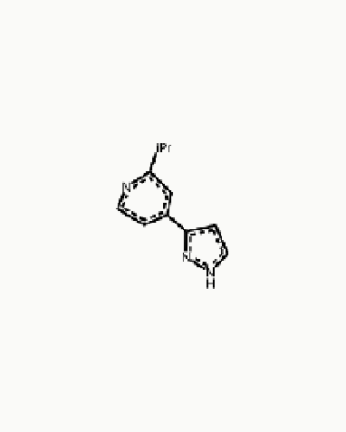 CC(C)c1cc(-c2cc[nH]n2)ccn1